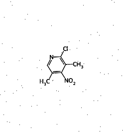 Cc1cnc(Cl)c(C)c1[N+](=O)[O-]